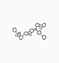 c1ccc(-c2ccc(N(c3ccc4c(c3)oc3cc(-c5cccc6oc(-c7ccccc7)nc56)ccc34)c3cccc4c3oc3ccccc34)cc2)cc1